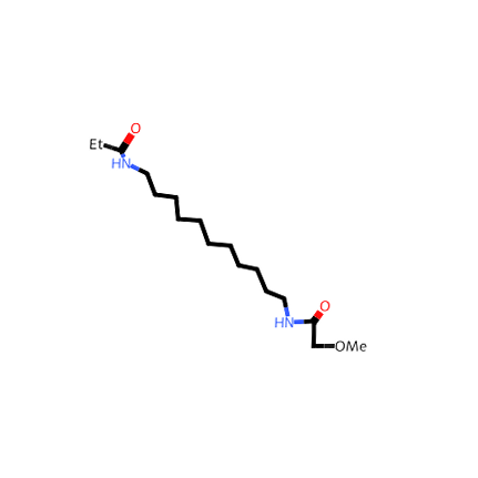 CCC(=O)NCCCCCCCCCCCNC(=O)COC